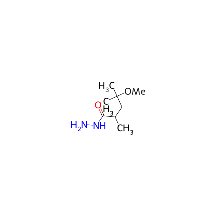 COC(C)(C)CC(C)C(=O)NN